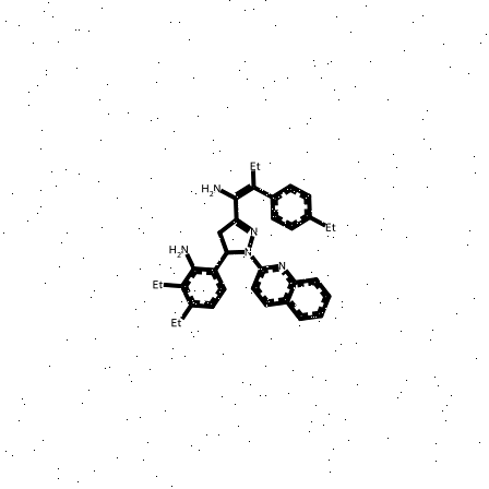 CCC(=C(N)C1=NN(c2ccc3ccccc3n2)C(c2ccc(CC)c(CC)c2N)C1)c1ccc(CC)cc1